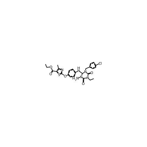 CCOC(=O)c1sc(Oc2ccc(NC3N(N)C(=O)N(CC)C(=O)N3Cc3ccc(Cl)cc3)cc2)nc1C